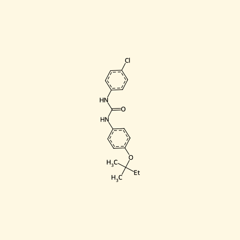 CCC(C)(C)Oc1ccc(NC(=O)Nc2ccc(Cl)cc2)cc1